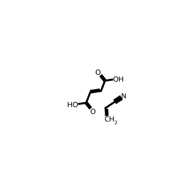 C=CC#N.O=C(O)/C=C/C(=O)O